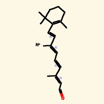 CC1=C(/C=C/C(C)=C/C=C/C(C)=C/C=O)C(C)(C)CCC1.[H+]